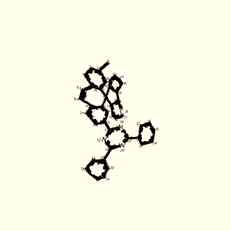 Cc1ccc2c(c1)C1(c3cc(-c4nc(-c5ccccc5)nc(-c5ccccc5)n4)ccc3C=C2)c2ccccc2-c2ccccc21